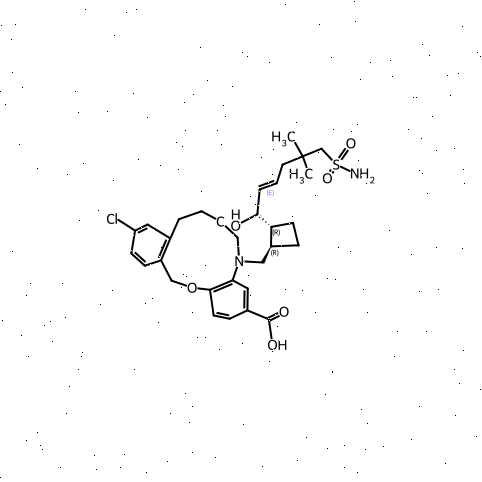 CC(C)(C/C=C/C(O)[C@@H]1CC[C@H]1CN1CCCCc2cc(Cl)ccc2COc2ccc(C(=O)O)cc21)CS(N)(=O)=O